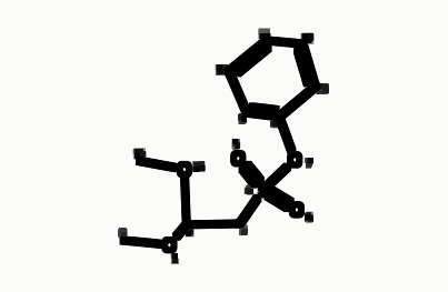 COC(CS(=O)(=O)Oc1ccccc1)OC